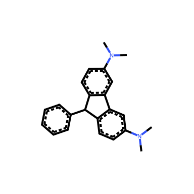 CN(C)c1ccc2c(c1)-c1cc(N(C)C)ccc1C2c1ccccc1